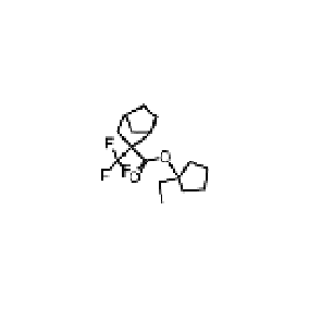 CCC1(OC(=O)C2(C(F)(F)F)CC3CCC2C3)CCCC1